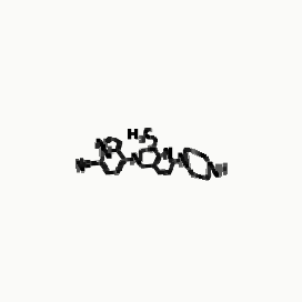 CC[C@@H]1CN(c2ccc(C#N)n3nccc23)Cc2ccc(N3CCNCC3)nc21